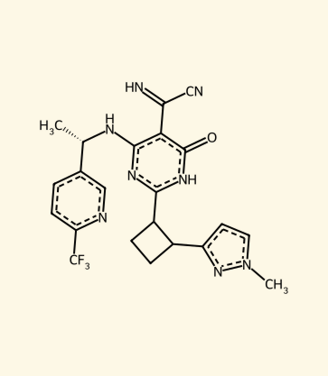 C[C@H](Nc1nc(C2CCC2c2ccn(C)n2)[nH]c(=O)c1C(=N)C#N)c1ccc(C(F)(F)F)nc1